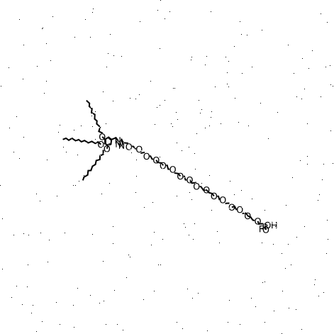 CCCCCCCCCCCCOc1cc(Cn2cc(COCCOCCOCCOCCOCCOCCOCCOCCOCCOCCOCCOCCOCCOCCOCCOCCP(=O)(O)F)nn2)cc(OCCCCCCCCCCCC)c1OCCCCCCCCCCCC